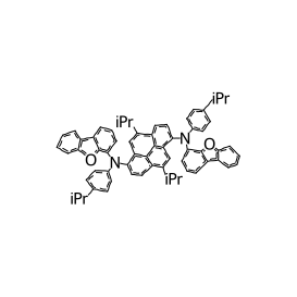 CC(C)c1ccc(N(c2ccc3c(C(C)C)cc4c(N(c5ccc(C(C)C)cc5)c5cccc6c5oc5ccccc56)ccc5c(C(C)C)cc2c3c54)c2cccc3c2oc2ccccc23)cc1